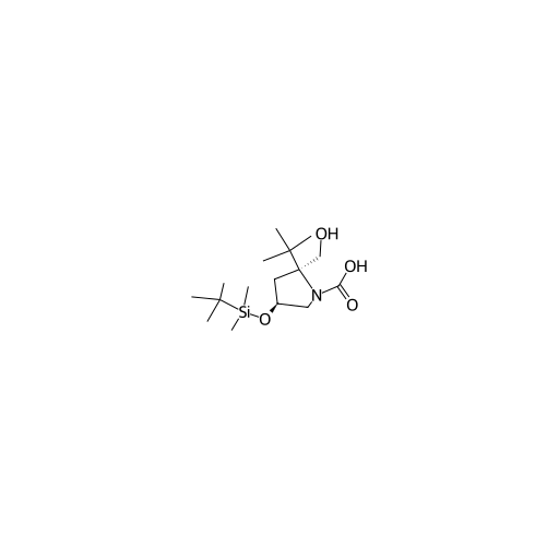 CC(C)(C)[C@]1(CO)C[C@H](O[Si](C)(C)C(C)(C)C)CN1C(=O)O